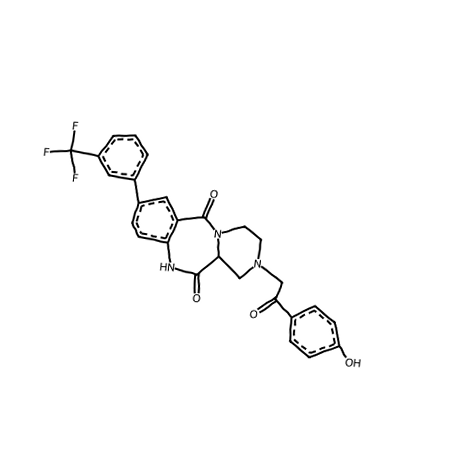 O=C(CN1CCN2C(=O)c3cc(-c4cccc(C(F)(F)F)c4)ccc3NC(=O)C2C1)c1ccc(O)cc1